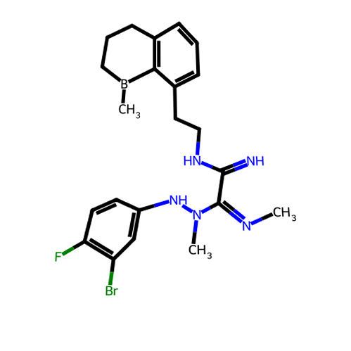 C/N=C(\C(=N)NCCc1cccc2c1B(C)CCC2)N(C)Nc1ccc(F)c(Br)c1